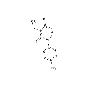 CCn1c(=O)ccn(-c2ccc(N)cc2)c1=O